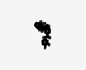 O=C(Nc1ccc(F)c(F)c1)c1ccc(Cl)c(S(=O)(=O)[C@@H]2CC3CC[C@@H](C2)[C@@]3(O)[C@H](O)[C@@H](O)C2CC2)c1